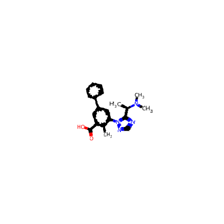 Cc1c(C(=O)O)cc(-c2ccccc2)cc1-n1ncnc1C(C)N(C)C